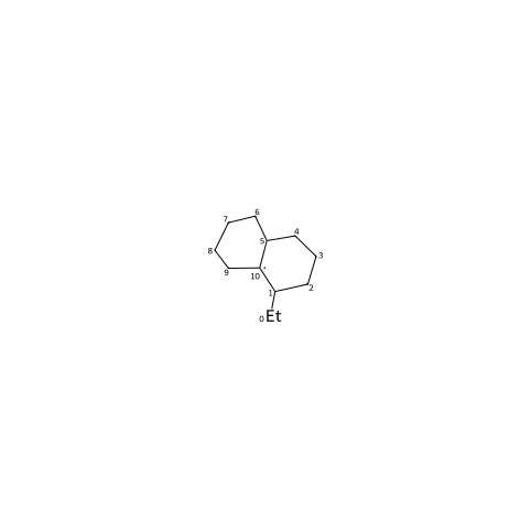 CCC1CCCC2CCCC[C]12